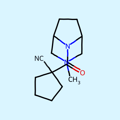 CN1CC2CCC(C1)N2C(=O)C1(C#N)CCCC1